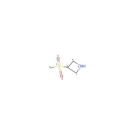 CS(=O)(=O)C1CNC1